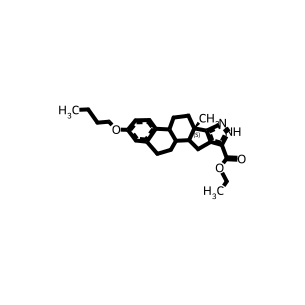 CCCCOc1ccc2c(c1)CCC1C2CC[C@]2(C)c3n[nH]c(C(=O)OCC)c3CC12